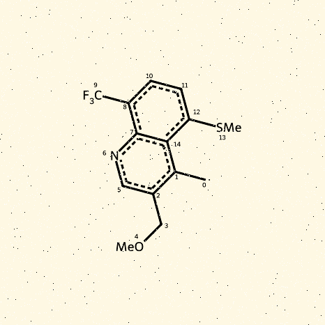 [CH2]c1c(COC)cnc2c(C(F)(F)F)ccc(SC)c12